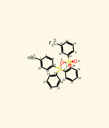 CCCCc1ccc(S(OS(=O)(=O)c2cccc(C(F)(F)F)c2)(c2ccccc2)c2ccccc2)cc1